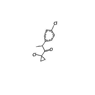 CC(C(=O)C1(Cl)CC1)c1ccc(Cl)cc1